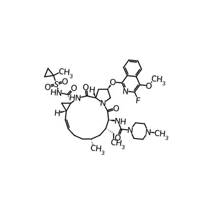 CC[C@@H]1C[C@H](C)CC/C=C\[C@@H]2C[C@@]2(C(=O)NS(=O)(=O)C2(C)CC2)NC(=O)[C@@H]2C[C@@H](Oc3nc(F)c(OC)c4ccccc34)CN2C(=O)[C@H]1NC(=O)N1CCN(C)CC1